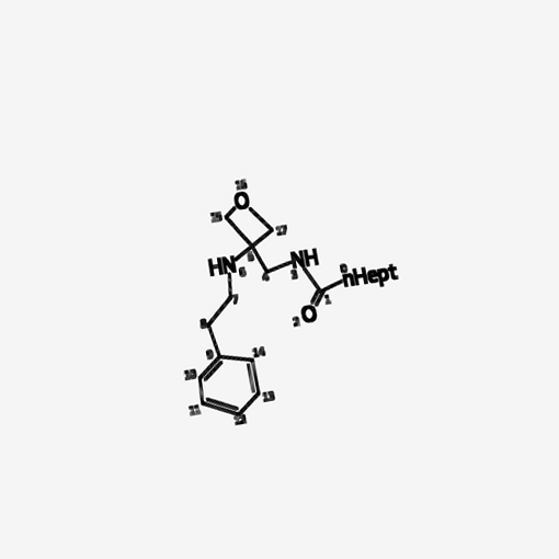 CCCCCCCC(=O)NCC1(NCCc2ccccc2)COC1